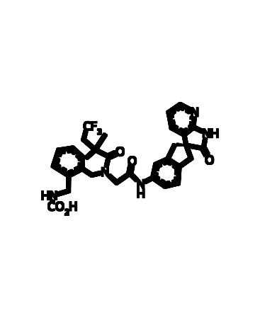 CC(C)(CC(F)(F)F)C(=O)N(CC(=O)Nc1ccc2c(c1)C[C@@]1(C2)C(=O)Nc2ncccc21)Cc1ccccc1CNC(=O)O